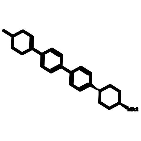 CCCCCCCC[C@H]1CC[C@H](c2ccc(-c3ccc(C4=CCC(C)CC4)cc3)cc2)CC1